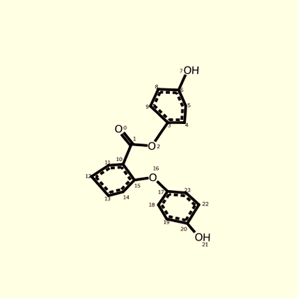 O=C(Oc1ccc(O)cc1)c1ccccc1Oc1ccc(O)cc1